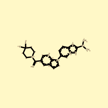 CN(C)c1nc2ccc(-n3ccc4cc(C(=O)N5CCC(F)(F)CC5)cnc43)cn2n1